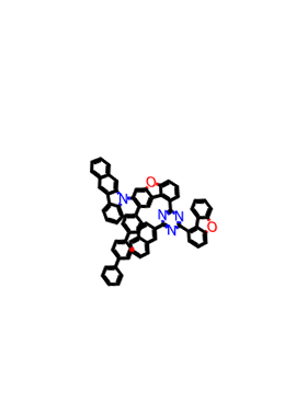 c1ccc(-c2ccc(-c3ccc(-c4cc5c(cc4-n4c6ccccc6c6cc7ccccc7cc64)oc4cccc(-c6nc(-c7ccc8ccccc8c7)nc(-c7cccc8oc9ccccc9c78)n6)c45)cc3)cc2)cc1